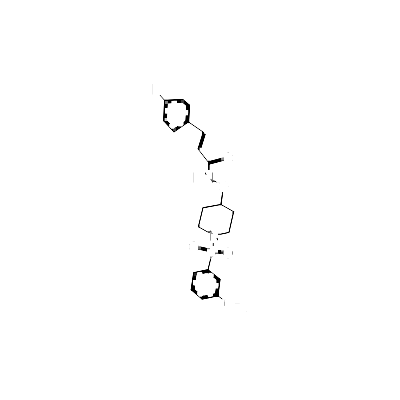 O=C(C=Cc1ccc(F)cc1)NOC1CCN(S(=O)(=O)c2cccc(C(F)(F)F)c2)CC1